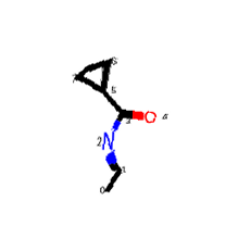 CC=NC(=O)C1CC1